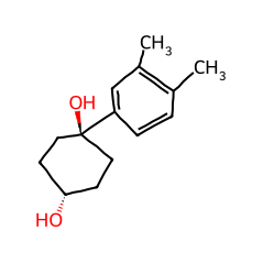 Cc1ccc([C@]2(O)CC[C@H](O)CC2)cc1C